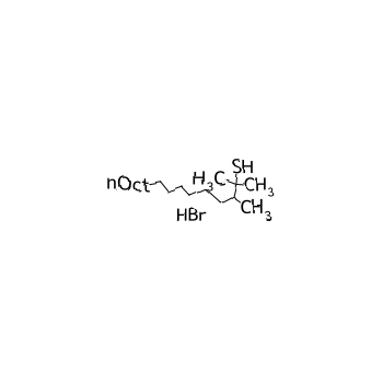 Br.CCCCCCCCCCCCCCC(C)C(C)(C)S